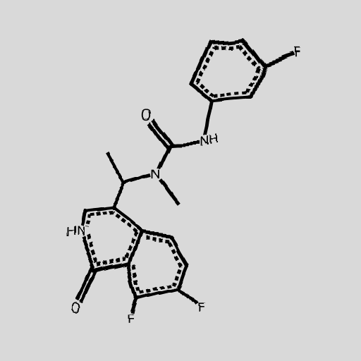 CC(c1c[nH]c(=O)c2c(F)c(F)ccc12)N(C)C(=O)Nc1cccc(F)c1